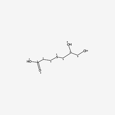 O=C(O)CCSCC(O)CCl